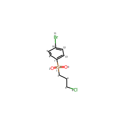 O=S(=O)(CCCCl)c1ccc(Br)cc1